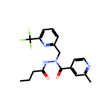 CCCC(=O)NN(Cc1cccc(C(F)(F)F)n1)C(=O)c1ccnc(C)c1